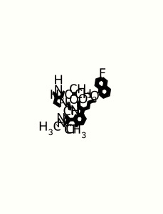 Cc1nn(C)c(C)c1-c1c(Cl)ccc2c(CCCOc3cccc4cc(F)ccc34)c(C(=O)OC(C)(C)C)n(CCN3CCC4CNCC43)c12